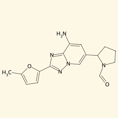 Cc1ccc(-c2nc3c(N)cc(C4CCCN4C=O)cn3n2)o1